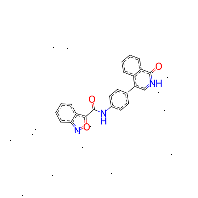 O=C(Nc1ccc(-c2c[nH]c(=O)c3ccccc23)cc1)c1onc2ccccc12